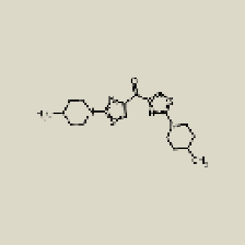 CC1CCN(c2nc(C(=O)c3csc(N4CCC(C)CC4)n3)cs2)CC1